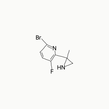 CC1(c2nc(Br)ccc2F)CN1